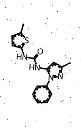 Cc1cc(NC(=O)Nc2ccc(C)s2)n(-c2ccccc2)n1